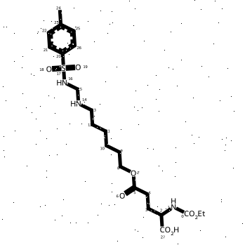 CCOC(=O)NC(CCC(=O)OCCCCCCNCNS(=O)(=O)c1ccc(C)cc1)C(=O)O